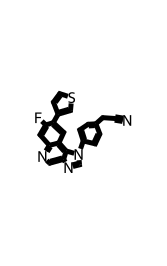 N#CCc1ccc(-n2cnc3cnc4cc(F)c(-c5ccsc5)cc4c32)cc1